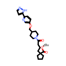 CC(C)(C)OC(=O)C1(CCCC(=O)N2CCC(COc3ccc(-c4ccn[nH]4)nc3)CC2)CCCC1